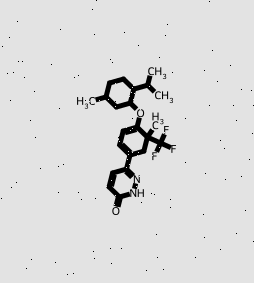 CC1CCC(C(C)C)C(OC2=CC=C(c3ccc(=O)[nH]n3)CC2(C)C(F)(F)F)C1